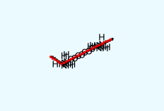 CCCCCCCCCCNC(=N)NC(=N)NCCCOCCOCCOCCOCCOCCOCCOCCCNC(=N)NC(=N)NCCCCCCCCCC